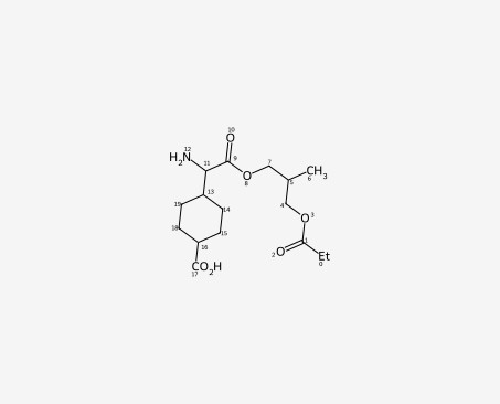 CCC(=O)OCC(C)COC(=O)C(N)C1CCC(C(=O)O)CC1